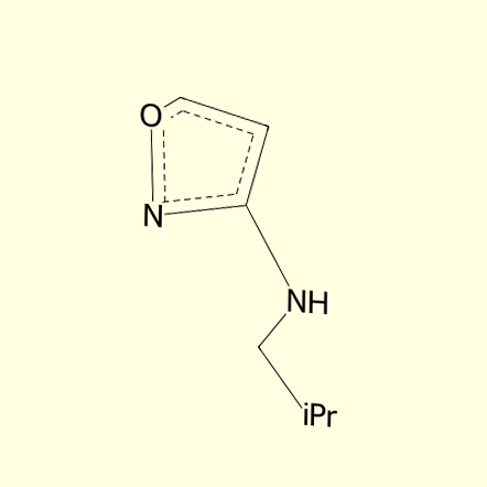 CC(C)CNc1ccon1